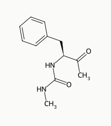 CNC(=O)N[C@@H](Cc1ccccc1)C(C)=O